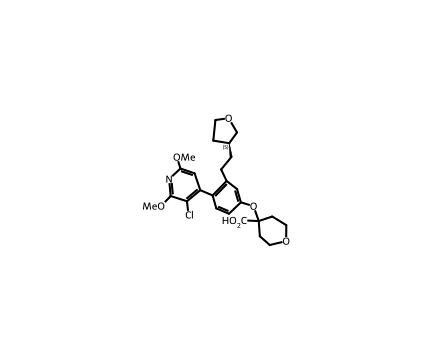 COc1cc(-c2ccc(OC3(C(=O)O)CCOCC3)cc2CC[C@H]2CCOC2)c(Cl)c(OC)n1